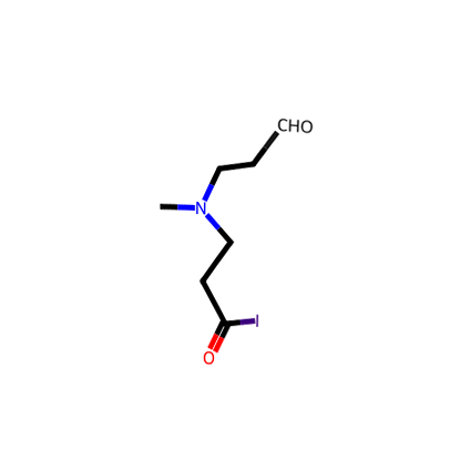 CN(CCC=O)CCC(=O)I